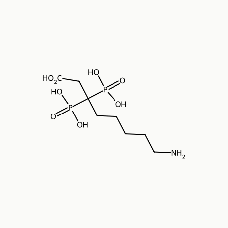 NCCCCCC(CC(=O)O)(P(=O)(O)O)P(=O)(O)O